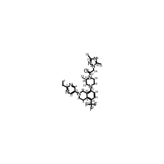 CCc1ncc(N2CCc3c(C(F)(F)F)ccc(N4CCN(C(=O)Cn5nc(C)nc5C)[C@H](C)C4)c3C2)cn1